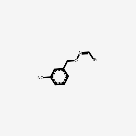 CC(C)/[C]=N\OCc1cccc(C#N)c1